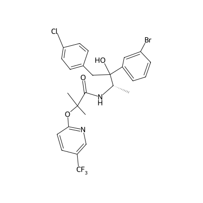 C[C@H](NC(=O)C(C)(C)Oc1ccc(C(F)(F)F)cn1)C(O)(Cc1ccc(Cl)cc1)c1cccc(Br)c1